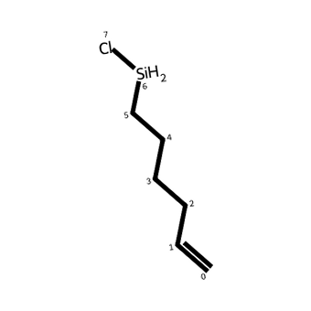 C=CCCCC[SiH2]Cl